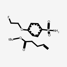 C=CCCC(=O)OC(C)(C)C.NS(=O)(=O)c1ccc(OCCF)cc1